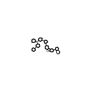 C1=Cc2cccc(-c3ccc4oc5ccc(-c6cccc(-c7cccc(N(c8ccccc8)c8cccc(-c9ccccc9)c8)c7)c6)cc5c4c3)c2CC1